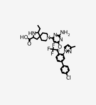 CCC1NC(C(=O)O)CC12CCN(c1cc(O[C@H](c3ccc(-c4ccc(Cl)cc4)cc3-n3ccc(C)n3)C(F)(F)F)nc(N)n1)CC2